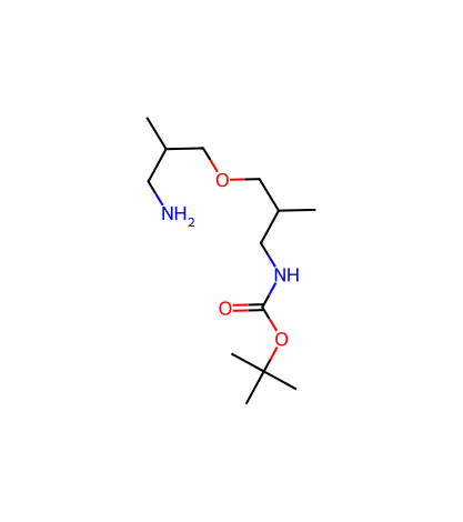 CC(CN)COCC(C)CNC(=O)OC(C)(C)C